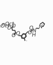 [CH2]c1cc(COC(=O)CCC(OCCCCCCCC)OCCCCCCCC)cc(COC(=O)NCCN2CCCC2)c1